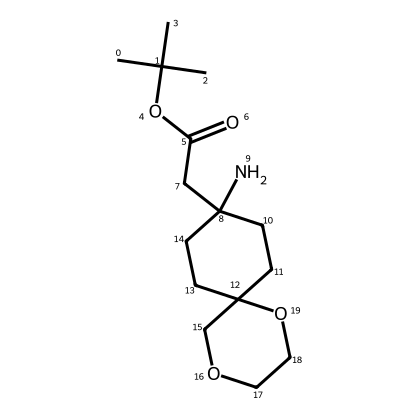 CC(C)(C)OC(=O)CC1(N)CCC2(CC1)COCCO2